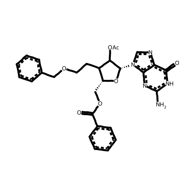 CC(=O)OC1C(CCOCc2ccccc2)[C@@H](COC(=O)c2ccccc2)O[C@H]1n1cnc2c(=O)[nH]c(N)nc21